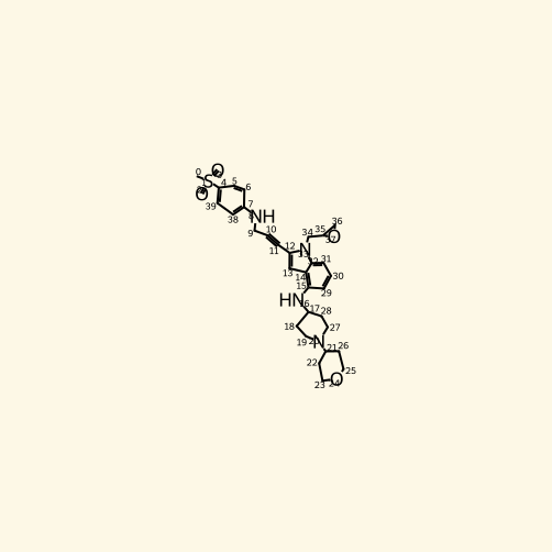 CS(=O)(=O)c1ccc(NCC#Cc2cc3c(NC4CCN(C5CCOCC5)CC4)cccc3n2CC2CO2)cc1